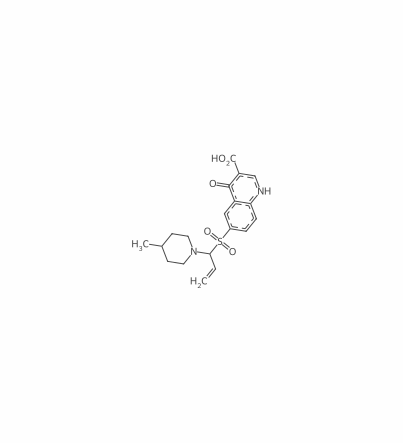 C=CC(N1CCC(C)CC1)S(=O)(=O)c1ccc2[nH]cc(C(=O)O)c(=O)c2c1